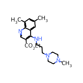 CCOC(=O)c1cnc2c(C)cc(C)cc2c1NCCCN1CCN(C)CC1